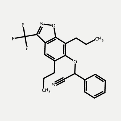 CCCc1cc2c(C(F)(F)F)noc2c(CCC)c1OC(C#N)c1ccccc1